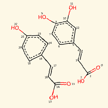 O=C(O)C=Cc1ccc(O)c(O)c1.O=C(O)C=Cc1ccc(O)cc1